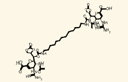 CC(=O)N[C@H]1[C@H]([C@H](OC(=O)NCCCCCCCCCCCCCNC(=O)O[C@@H]([C@@H]2OC(C(=O)O)=C[C@H](NC(=N)N)[C@H]2NC(C)=O)[C@H]2COC(=O)O2)[C@H]2COC(=O)O2)OC(C(=O)O)=C[C@@H]1NC(=N)N